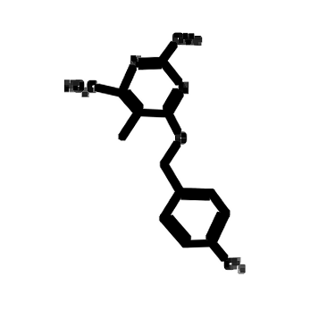 COc1nc(OCc2ccc(C(F)(F)F)cc2)c(C)c(C(=O)O)n1